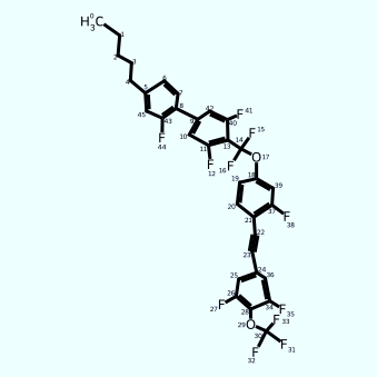 CCCCCc1ccc(-c2cc(F)c(C(F)(F)Oc3ccc(C#Cc4cc(F)c(OC(F)(F)F)c(F)c4)c(F)c3)c(F)c2)c(F)c1